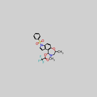 CC1CN(C)C(OC(=O)C(F)(F)F)c2c(ccc3c2ccn3S(=O)(=O)c2ccccc2)O1